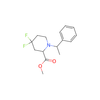 COC(=O)C1CC(F)(F)CCN1C(C)c1ccccc1